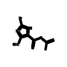 C=C(C)OC(=O)c1[nH]c(Br)nc1C=O